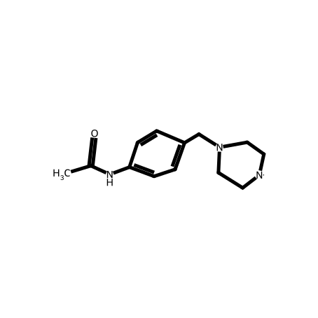 CC(=O)Nc1ccc(CN2CC[N]CC2)cc1